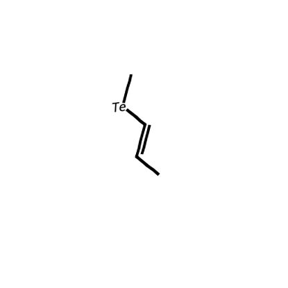 CC=C[Te]C